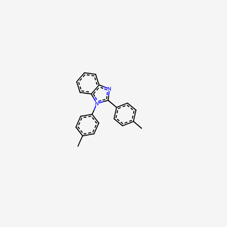 Cc1ccc(-c2nc3ccccc3n2-c2ccc(C)cc2)cc1